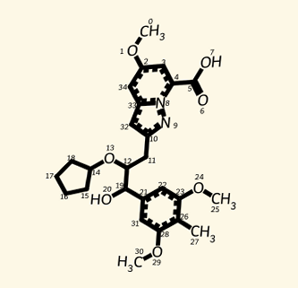 COc1cc(C(=O)O)n2nc(CC(OC3CCCC3)C(O)c3cc(OC)c(C)c(OC)c3)cc2c1